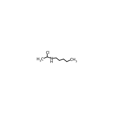 CCCCCNC(C)Cl